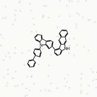 c1ccc(-c2ccc(-n3c4ccccc4c4ccc(-c5cccc6[nH]c7cc8ccccc8cc7c56)cc43)cc2)cc1